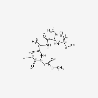 COC(=O)CC(NC(=O)C(C)NC(=O)C(NC(=O)CF)C(C)C)C(=O)CF